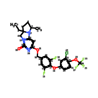 CCC12CCC(C)N1c1cc(OCc3cc(F)c(Oc4ccc(OC(F)(F)F)c(Cl)c4)c(F)c3)nc(=O)n1C2